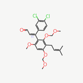 COCOc1cc(OC)c(/C(=C/C=O)c2ccc(Cl)c(Cl)c2)c(OCOC)c1CC=C(C)C